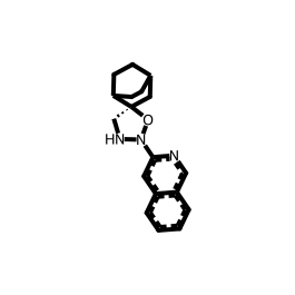 c1ccc2cc(N3NC[C@]4(CC5CCC4CC5)O3)ncc2c1